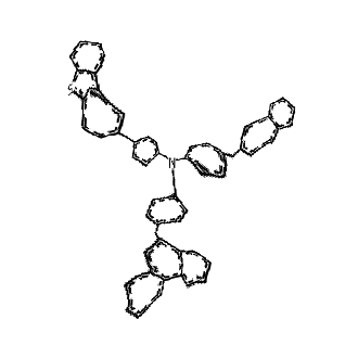 c1ccc2cc(-c3ccc(N(c4ccc(-c5ccc6sc7ccccc7c6c5)cc4)c4ccc(-c5cc6ccccc6c6ccccc56)cc4)cc3)ccc2c1